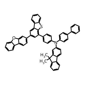 CC1(C)c2ccccc2-c2ccc(N(c3ccc(-c4ccccc4)cc3)c3ccc(-c4cc(-c5ccc6c(c5)oc5ccccc56)cc5c4sc4ccccc45)cc3)cc21